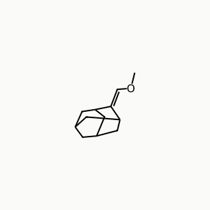 COC=C1C2CC3CC(C2)CC1C3